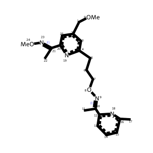 COCc1cc(CCCO/N=C(\C)c2cccc(C)n2)nc(/C(C)=N/OC)c1